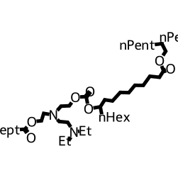 CCCCCCCC(=O)OCCN(CCOC(=O)OC(CCCCCC)CCCCCCCCC(=O)OCC(CCCCC)CCCCC)CCN(CC)CC